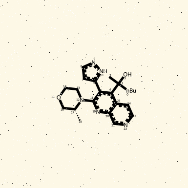 CCCCC(C)(O)c1c(-c2ccn[nH]2)c(N2CCOC[C@H]2C)nc2cnccc12